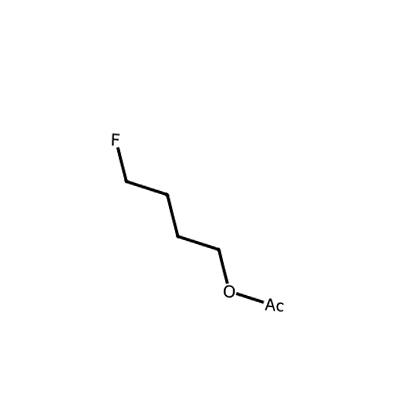 CC(=O)OCCCCF